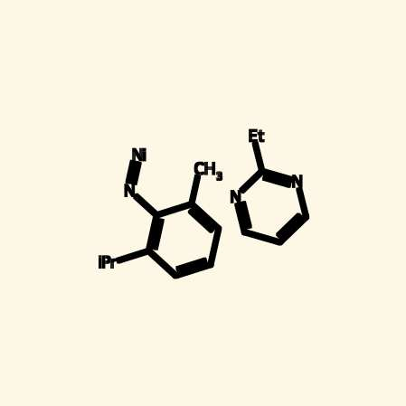 CCc1ncccn1.Cc1cccc(C(C)C)c1[N]=[Ni]